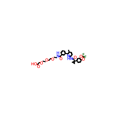 Cc1ccc(NC(=O)C2(c3ccc4c(c3)OC(F)(F)O4)CC2)nc1-c1cccc(C(=O)NCCOCCOCCOCC(=O)O)c1